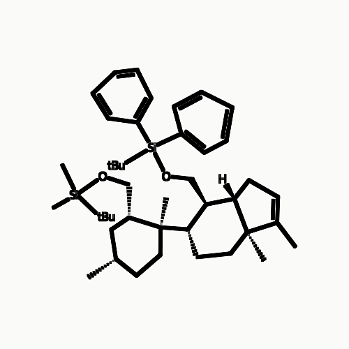 CC1=CC[C@H]2[C@H](CO[Si](c3ccccc3)(c3ccccc3)C(C)(C)C)[C@@H]([C@@]3(C)CC[C@H](C)C[C@@H]3CO[Si](C)(C)C(C)(C)C)CC[C@]12C